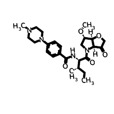 CC[C@H](C)[C@H](NC(=O)c1ccc(N2CCN(C)CC2)cc1)C(=O)N1C[C@H](OC)[C@H]2OCC(=O)[C@H]21